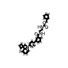 O=C(NCCNC(=O)c1cc(-c2ccc(NCC3(c4ncccc4F)CCC3)nn2)ccc1F)OCc1ccccc1